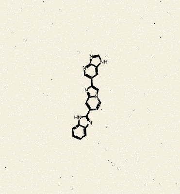 c1ccc2[nH]c(-c3ccn4cc(-c5cnc6nc[nH]c6c5)nc4c3)nc2c1